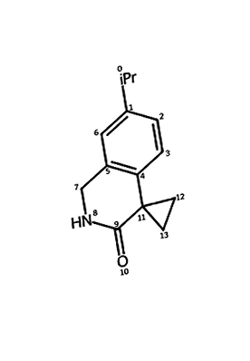 CC(C)c1ccc2c(c1)CNC(=O)C21CC1